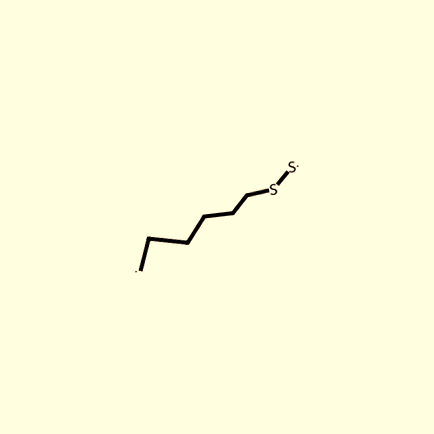 [CH2]CCCCCS[S]